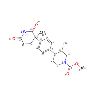 CC(C)(C)OC(=O)N1CCC(c2ccc(C3(C)CCC(=O)NC3=O)cc2)C(F)C1